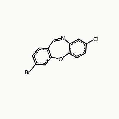 Clc1ccc2c(c1)N=Cc1ccc(Br)cc1O2